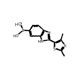 Cc1nc(C)c(-c2nc3ccc(B(O)O)cc3[nH]2)s1